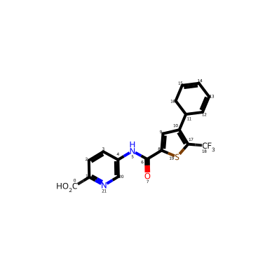 O=C(O)c1ccc(NC(=O)c2cc(C3C=CC=CC3)c(C(F)(F)F)s2)cn1